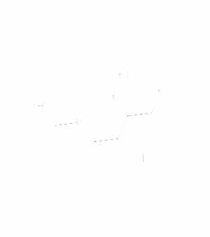 [2H]CPC[C@@H](C)C(CC)CC